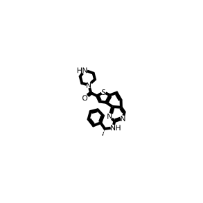 C[C@@H](Nc1ncc2ccc3sc(C(=O)N4CCNCC4)cc3c2n1)c1ccccc1